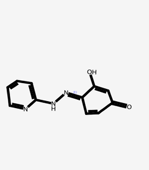 O=C1C=C/C(=N\Nc2ccccn2)C(O)=C1